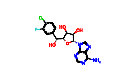 Nc1ncnc2c1ncn2[C@@H]1O[C@H]([C@H](O)c2ccc(Cl)c(F)c2)[C@@H](O)[C@H]1O